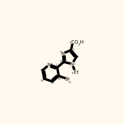 CCn1cc(C(=O)O)nc1-c1ncccc1Br